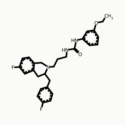 CCOc1cccc(NC(=O)NCCCN2Cc3ccc(F)cc3CC2Cc2ccc(F)cc2)c1